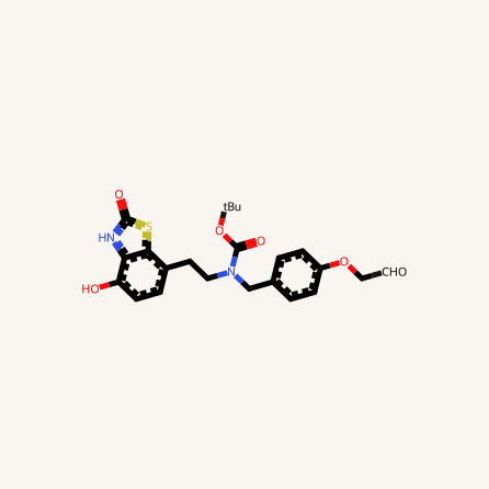 CC(C)(C)OC(=O)N(CCc1ccc(O)c2[nH]c(=O)sc12)Cc1ccc(OCC=O)cc1